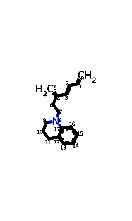 C=CC=CC(=C)CCN1CCCc2ccccc21